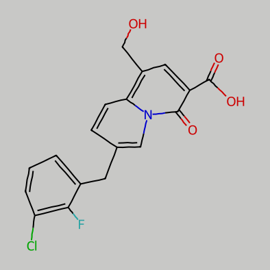 O=C(O)c1cc(CO)c2ccc(Cc3cccc(Cl)c3F)cn2c1=O